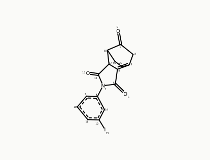 O=C1CC2=C3C(=O)N(c4cccc(I)c4)C(=O)C3C1CC2